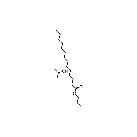 CC(C)O.CCCCCCCCCCCCCC(=O)OCCC